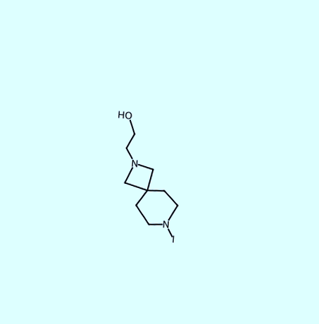 OCCN1CC2(CCN(I)CC2)C1